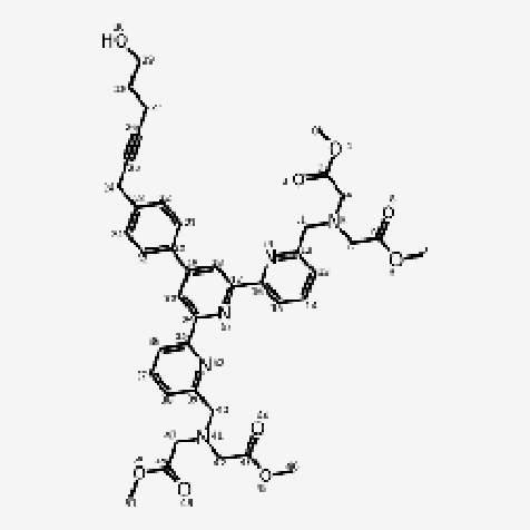 COC(=O)CN(CC(=O)OC)Cc1cccc(-c2cc(-c3ccc(CC#CCCCO)cc3)cc(-c3cccc(CN(CC(=O)OC)CC(=O)OC)n3)n2)n1